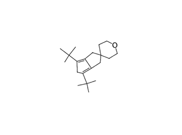 CC(C)(C)C1=C2CC3(CCOCC3)CC2=C(C(C)(C)C)C1